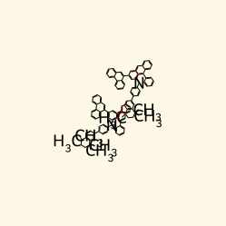 CC1(C)CCC(C)(C)c2cc(-c3ccc(N(c4cc(CC5(C)CCC(C)(C)c6cc(-c7ccc(N(c8cccc(-c9cc%10ccccc%10c%10ccccc9%10)c8)c8ccccc8-c8cccc9ccccc89)cc7)ccc65)cc(-c5cc6ccccc6c6ccccc56)c4)c4ccccc4-c4ccc5ccccc5c4)cc3)ccc21